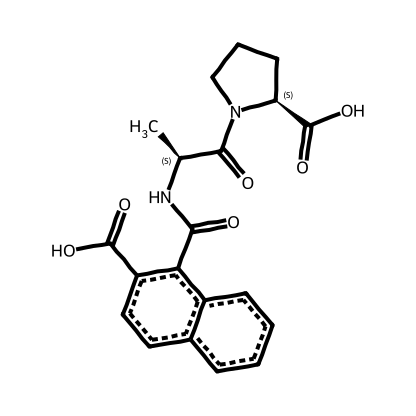 C[C@H](NC(=O)c1c(C(=O)O)ccc2ccccc12)C(=O)N1CCC[C@H]1C(=O)O